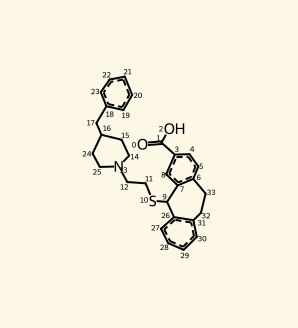 O=C(O)c1ccc2c(c1)C(SCCN1CCC(Cc3ccccc3)CC1)c1ccccc1CC2